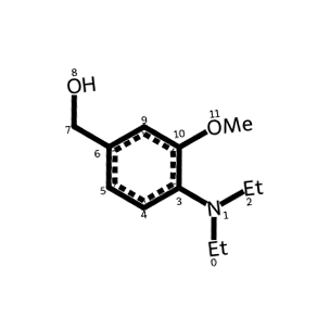 CCN(CC)c1ccc(CO)cc1OC